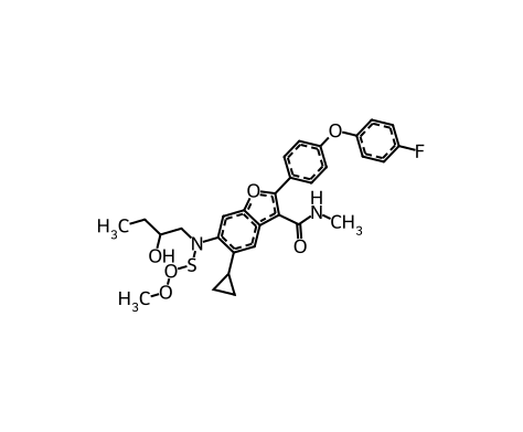 CCC(O)CN(SOOC)c1cc2oc(-c3ccc(Oc4ccc(F)cc4)cc3)c(C(=O)NC)c2cc1C1CC1